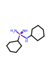 N=P(N)(NC1CCCCC1)C1CCCCC1